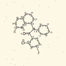 Cc1ccc(C(=O)N(c2ccccc2)c2cccc3ccc(C)nc23)c(Cl)c1